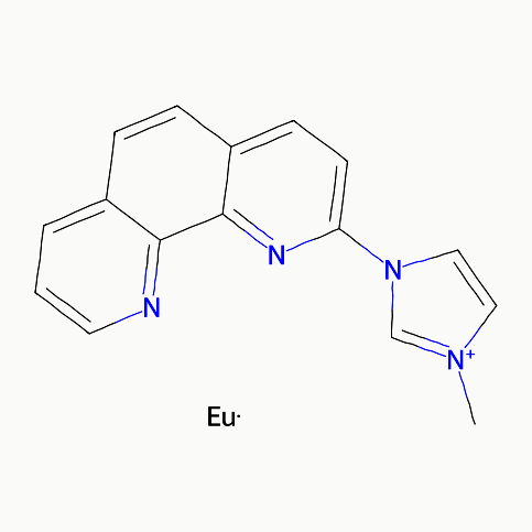 C[n+]1ccn(-c2ccc3ccc4cccnc4c3n2)c1.[Eu]